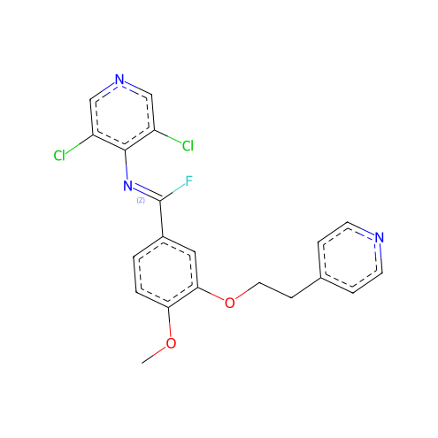 COc1ccc(/C(F)=N/c2c(Cl)cncc2Cl)cc1OCCc1ccncc1